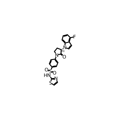 O=C1[C@@H](n2ccc3c(F)cccc32)CCN1c1ccc(S(=O)(=O)Nc2nccs2)cc1